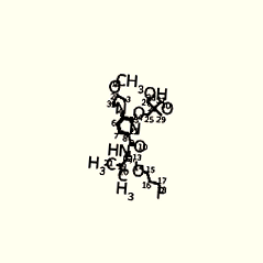 COC1CN(c2ccc(C(=O)N[C@H](COCCCF)C(C)C)nc2OCC2(CO)COC2)C1